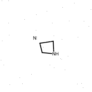 C1CNC1.[N]